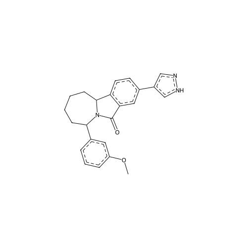 COc1cccc(C2CCCCC3c4ccc(-c5cn[nH]c5)cc4C(=O)N23)c1